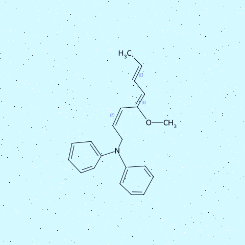 C/C=C/C=C(\C=C/CN(c1ccccc1)c1ccccc1)OC